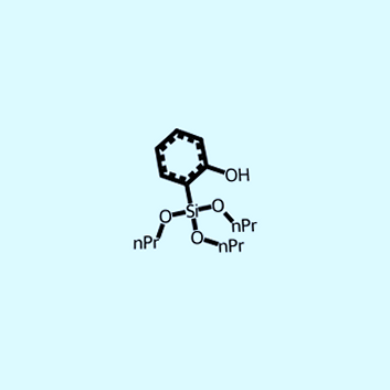 CCCO[Si](OCCC)(OCCC)c1ccccc1O